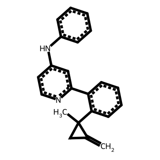 C=C1CC1(C)c1ccccc1-c1cc(Nc2ccccc2)ccn1